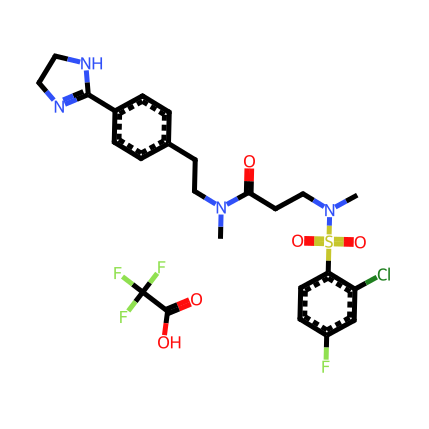 CN(CCc1ccc(C2=NCCN2)cc1)C(=O)CCN(C)S(=O)(=O)c1ccc(F)cc1Cl.O=C(O)C(F)(F)F